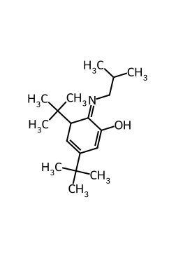 CC(C)CN=C1C(O)=CC(C(C)(C)C)=CC1C(C)(C)C